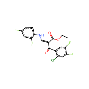 CCOC(=O)C(=CNc1ccc(F)cc1F)C(=O)c1cc(F)c(F)cc1Cl